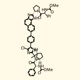 COC(=O)N[C@H](C(=O)N1CCC[C@H]1c1nc2ccc3cc(-c4ccc(-c5[nH]c(C6(C)[C@H]7CC[C@H](C7)N6C(=O)[C@H](NC(=O)OC)c6ccccc6)nc5Cl)cc4)ccc3c2[nH]1)C(C)C